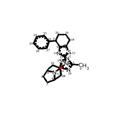 Cc1nsc(N2C3CCC2CC(Nc2nc4c(s2)CCCC4c2ccccc2)C3)n1